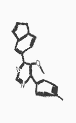 COc1c(-c2ccc(C)cc2)ncnc1-c1ccc2c(c1)CCC2